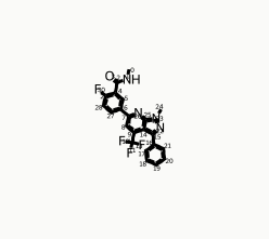 CNC(=O)c1cc(-c2cc(C(F)(F)F)c3c(-c4ccccc4)nn(C)c3n2)ccc1F